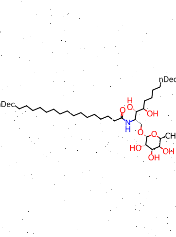 CCCCCCCCCCCCCCCCCCCCCCCCCC(=O)N[C@@H](CO[C@@H]1O[C@@H](C)[C@@H](O)[C@@H](O)[C@@H]1O)[C@H](O)[C@H](O)CCCCCCCCCCCCCC